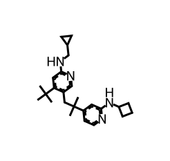 CC(C)(C)c1cc(NCC2CC2)ncc1CC(C)(C)c1ccnc(NC2CCC2)c1